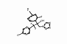 OC(Cn1cnnn1)(c1ccc(F)cc1F)C(F)(F)c1cnc(Cl)cn1